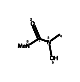 CNC(=O)N(C)O